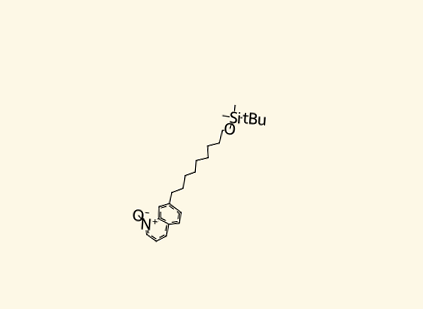 CC(C)(C)[Si](C)(C)OCCCCCCCCCc1ccc2ccc[n+]([O-])c2c1